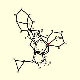 COc1cc(C(=O)O)cc2sc(N3C4CCC3CC(OCc3c(C5CCCCC5C(F)(F)F)noc3C3CC3)C4)nc12